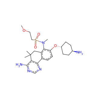 COCCS(=O)(=O)N(C)c1c(O[C@H]2CC[C@H](N)CC2)ccc2c1CC(C)(C)c1c(N)ncnc1-2